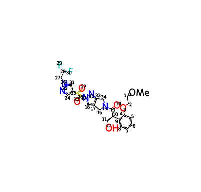 COCCOc1ccccc1[C@@H](CO)C(=O)N1Cc2cn(S(=O)(=O)c3cnn(CC(F)F)c3)nc2C1